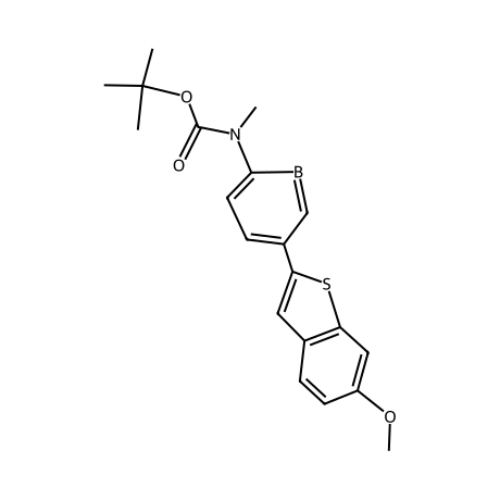 COc1ccc2cc(-c3cbc(N(C)C(=O)OC(C)(C)C)cc3)sc2c1